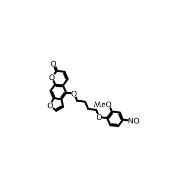 COc1cc(N=O)ccc1OCCCCOc1c2ccoc2cc2oc(=O)ccc12